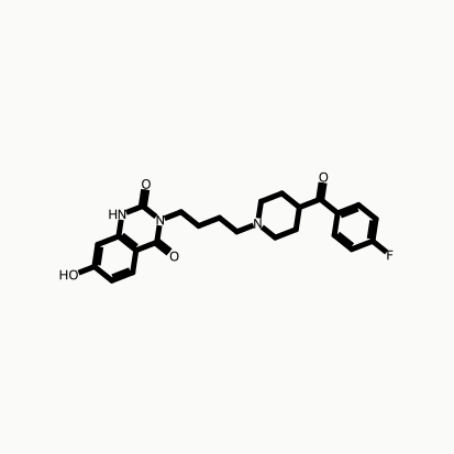 O=C(c1ccc(F)cc1)C1CCN(CCCCn2c(=O)[nH]c3cc(O)ccc3c2=O)CC1